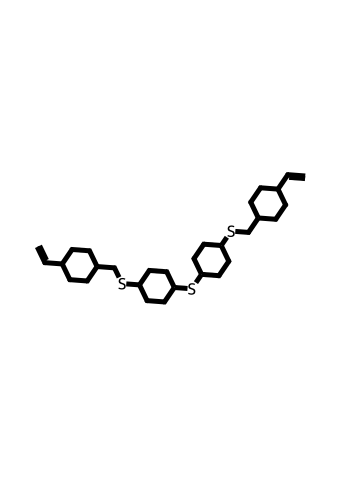 C=CC1CCC(CSC2CCC(SC3CCC(SCC4CCC(C=C)CC4)CC3)CC2)CC1